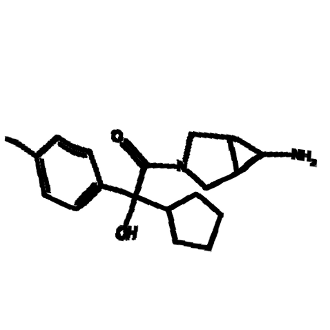 Cc1ccc(C(O)(C(=O)N2CC3C(N)C3C2)C2CCCC2)cc1